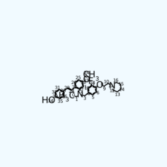 CCN(Cc1ccc(OCCN2CCCCC2)c(F)c1)c1cc(OC)ccc1C=Cc1ccc(O)cc1